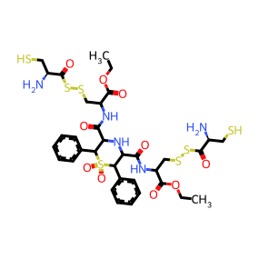 CCOC(=O)C(CSSC(=O)[C@@H](N)CS)NC(=O)C1NC(C(=O)NC(CSSC(=O)[C@@H](N)CS)C(=O)OCC)C(c2ccccc2)S(=O)(=O)C1c1ccccc1